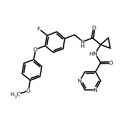 COc1ccc(Oc2ccc(CNC(=O)C3(NC(=O)c4cncnc4)CC3)cc2F)cc1